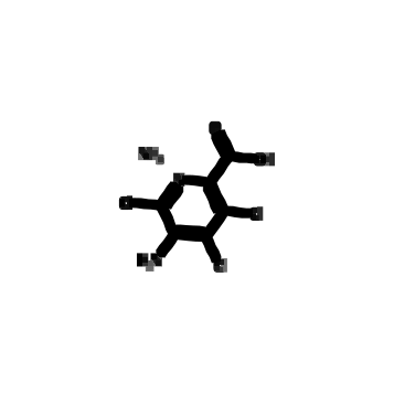 N.Nc1c(Cl)nc(C(=O)O)c(Cl)c1Cl